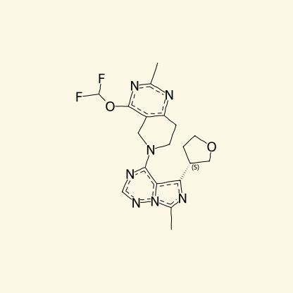 Cc1nc2c(c(OC(F)F)n1)CN(c1ncnn3c(C)nc([C@@H]4CCOC4)c13)CC2